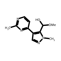 COC(O)c1c(-c2ccnc(C)n2)cnn1C